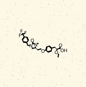 CCO[C@@H](Cc1ccc(OCC[C@H]2CN(Cc3ccc(C(F)(F)F)cc3)C(=O)N2C)cc1)C(=O)O